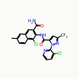 Cc1ccc2c(Cl)c(NC(=O)c3cc(C(F)(F)F)nn3-c3ncccc3Cl)c(C(N)=O)cc2c1